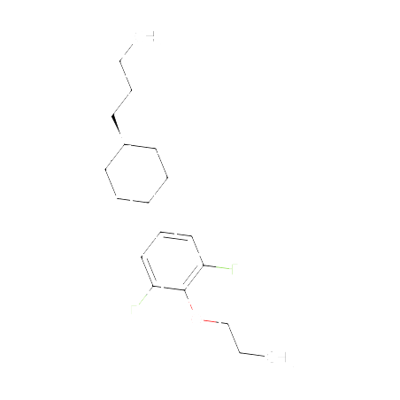 CCCC[C@H]1CC[C@H](c2cc(F)c(OCCC)c(F)c2)CC1